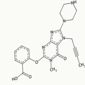 CC#CCn1c(N2CCNCC2)nc2nc(Oc3ccccc3C(=O)O)n(C)c(=O)c21